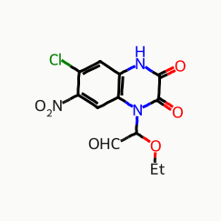 CCOC(C=O)n1c(=O)c(=O)[nH]c2cc(Cl)c([N+](=O)[O-])cc21